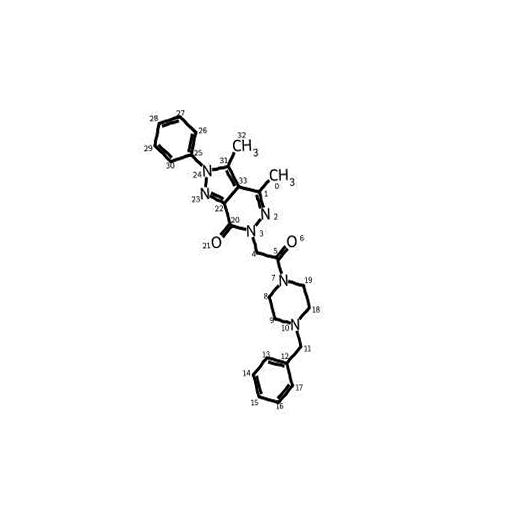 Cc1nn(CC(=O)N2CCN(Cc3ccccc3)CC2)c(=O)c2nn(-c3ccccc3)c(C)c12